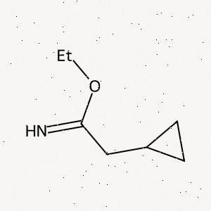 CCOC(=N)CC1CC1